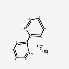 Cl.Cl.c1ccc(-c2ccccn2)nc1